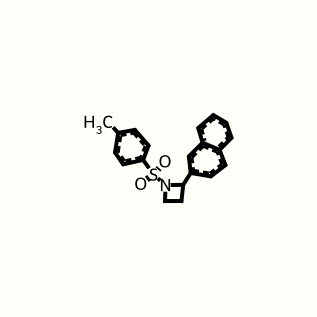 Cc1ccc(S(=O)(=O)N2CCC2c2ccc3ccccc3c2)cc1